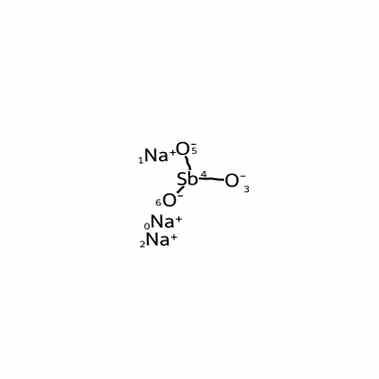 [Na+].[Na+].[Na+].[O-][Sb]([O-])[O-]